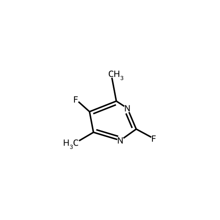 Cc1nc(F)nc(C)c1F